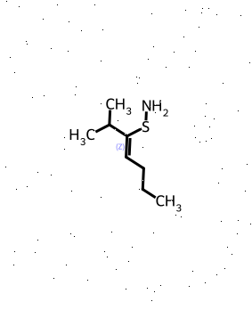 CCC/C=C(\SN)C(C)C